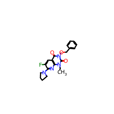 CCn1c(=O)n(OCc2ccccc2)c(=O)c2cc(F)c(N3CCCC3)nc21